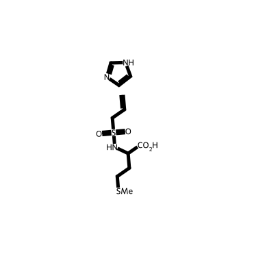 C=CCS(=O)(=O)NC(CCSC)C(=O)O.c1c[nH]cn1